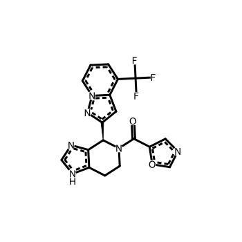 O=C(c1cnco1)N1CCc2[nH]cnc2[C@H]1c1cc2c(C(F)(F)F)cccn2n1